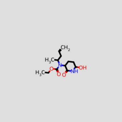 C=CCC(C)N(C(=O)OCC)C1CCC(O)NC1=O